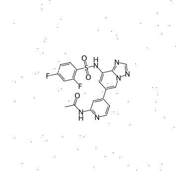 CC(=O)Nc1cc(-c2cc(NS(=O)(=O)c3ccc(F)cc3F)c3ncnn3c2)ccn1